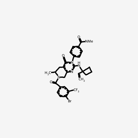 C=CC1(Nc2nc3c(c(=O)n2-c2ccc(C(=O)NC)cc2)CC(C)N(C(=O)c2ccc(Br)c(C(F)(F)F)c2)C3)CCC1